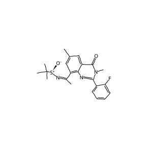 C/C(=N/[S@+]([O-])C(C)(C)C)c1cc(C)cc2c(=O)n(C)c(-c3ccccc3F)nc12